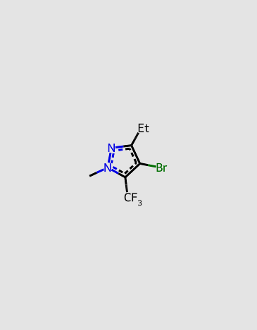 CCc1nn(C)c(C(F)(F)F)c1Br